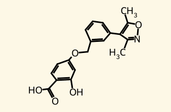 Cc1noc(C)c1-c1cccc(COc2ccc(C(=O)O)c(O)c2)c1